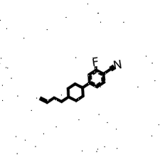 C=CCCC1CCC(c2ccc(C#N)c(F)c2)CC1